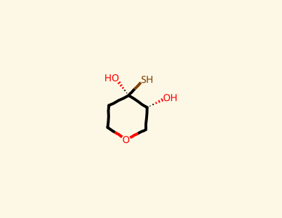 O[C@@H]1COCC[C@@]1(O)S